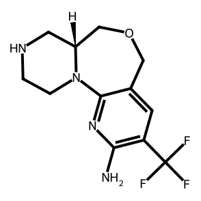 Nc1nc2c(cc1C(F)(F)F)COC[C@H]1CNCCN21